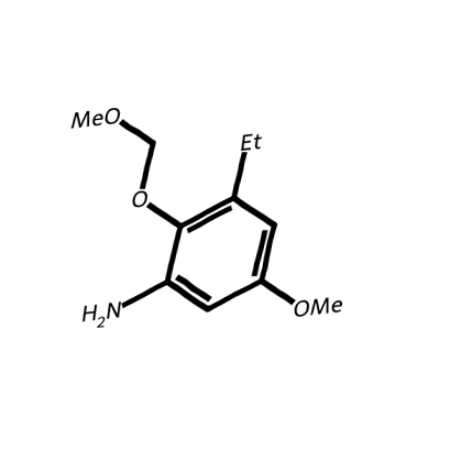 CCc1cc(OC)cc(N)c1OCOC